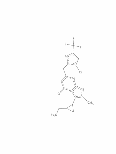 Cc1sc2nc(Cn3nc(C(F)(F)F)cc3Cl)cc(=O)n2c1C1CC1CN